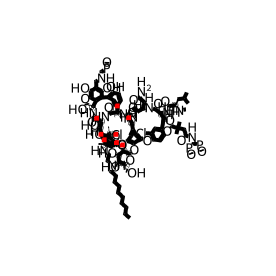 CCCCCCCCCCNCCN[C@@]1(C)C[C@H](O[C@H]2[C@H](Oc3c4cc5cc3Oc3ccc(cc3Cl)[C@@H](OC(=O)C(C)(C)CC(=O)NC(P=O)P=O)[C@@H](NC(=O)[C@@H](CC(C)C)NC)C(=O)N[C@@H](CC(N)=O)C(=O)N[C@H]5C(=O)N[C@H]3C(=O)N[C@H](C(=O)N[C@H](C(=O)O)c5cc(O)c(CNCP=O)c(O)c5-c5cc3ccc5O)[C@H](O)c3ccc(c(Cl)c3)O4)O[C@H](CO)[C@@H](O)[C@@H]2O)O[C@@H](C)[C@H]1O